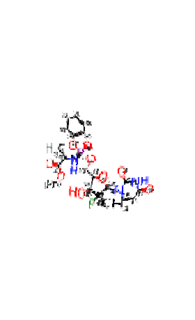 CC(C)OC(=O)[C@@H](C)N[P@@](=O)(OCC1OC(n2ccc(=O)[nH]c2=O)[C@](C)(F)[C@@H]1O)Oc1ccccc1